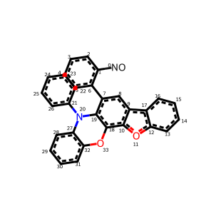 O=Nc1ccccc1-c1cc2c(oc3ccccc32)c2c1N(c1ccccc1)c1ccccc1O2